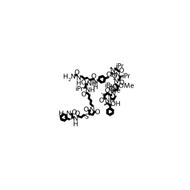 CC[C@H](C)C([C@@H](CC(=O)N1CCC[C@H]1[C@H](OC)[C@@H](C)C(=O)N[C@H](C)[C@@H](O)c1ccccc1)OC)N(C)C(=O)[C@@H](NC(=O)[C@H](C(C)C)N(C)C(=O)OCc1ccc(NC(=O)[C@H](CCCNC(N)=O)NC(=O)[C@@H](NC(=O)CCCCCN2C(=O)CC(SCCC(=O)N[C@H](Cc3ccccc3)C(N)=O)C2=O)C(C)C)cc1)C(C)C